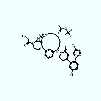 CC(=O)OC(F)(F)F.CC(C)(C)OC(=O)N1CCN2c3cccc(c3)[C@@H](N3CCC(c4cc(Cl)ccc4-n4cc(Cl)nn4)=CC3=O)CCCCCNC(=O)[C@H]2C1